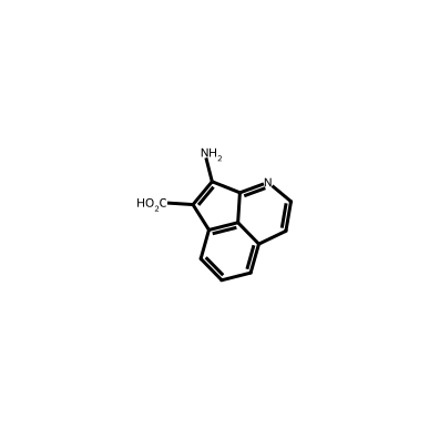 NC1=C(C(=O)O)c2cccc3ccnc1c23